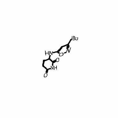 CCC(C)c1cc(NC2CCC(=O)NC2=O)on1